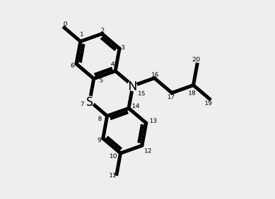 Cc1ccc2c(c1)Sc1cc(C)ccc1N2CCC(C)C